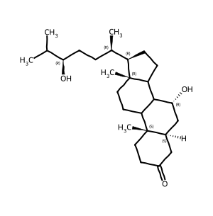 CC(C)[C@H](O)CC[C@@H](C)[C@H]1CCC2C3C(CC[C@@]21C)[C@@]1(C)CCC(=O)C[C@@H]1C[C@H]3O